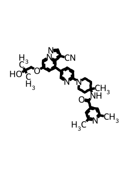 Cc1cc(C(=O)NC2(C)CCN(c3ccc(-c4cc(OCC(C)(C)O)cn5ncc(C#N)c45)cn3)CC2)cc(C)n1